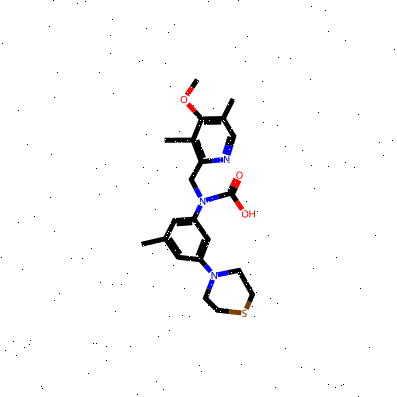 COc1c(C)cnc(CN(C(=O)O)c2cc(C)cc(N3CCSCC3)c2)c1C